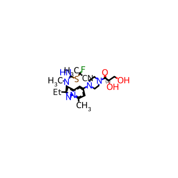 CCc1nn2c(C)cc(N3CCN(C(=O)[C@@H](O)CO)CC3)cc2c1N(C)C(=N)SC(C)(F)C#N